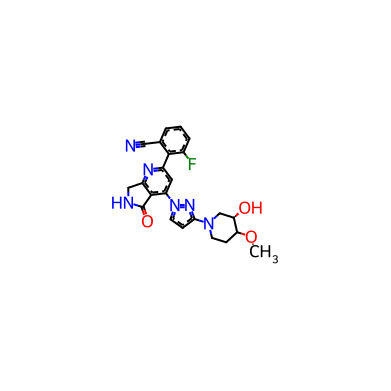 COC1CCN(c2ccn(-c3cc(-c4c(F)cccc4C#N)nc4c3C(=O)NC4)n2)C[C@H]1O